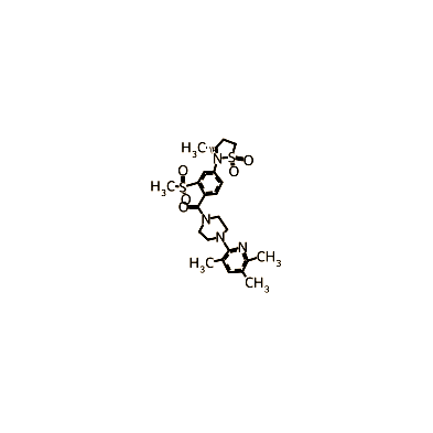 Cc1cc(C)c(N2CCN(C(=O)c3ccc(N4[C@H](C)CCS4(=O)=O)cc3S(C)(=O)=O)CC2)nc1C